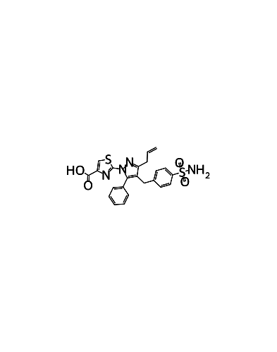 C=CCc1nn(-c2nc(C(=O)O)cs2)c(-c2ccccc2)c1Cc1ccc(S(N)(=O)=O)cc1